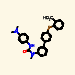 CN(C)c1ccc(NC(=O)N(C)c2cccc(-c3ccc(Sc4ccccc4C(=O)O)cc3)c2)cc1